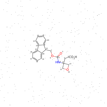 O=C(O)CC1(NC(=O)OCC2c3ccccc3-c3ccccc32)COC1